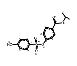 CC(C)OC(=O)c1ccc(OS(=O)(=O)c2ccc(O)cc2)cc1